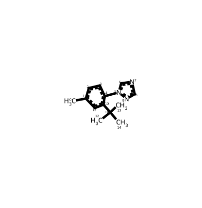 Cc1ccc(-n2cncn2)c(C(C)(C)C)c1